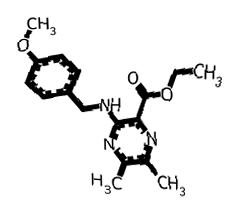 CCOC(=O)c1nc(C)c(C)nc1NCc1ccc(OC)cc1